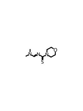 CN(C)/C=N/C(=S)N1CCOCC1